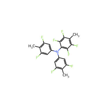 Cc1c(F)cc(N(c2cc(F)c(C)c(F)c2)c2c(F)c(F)c(C)c(F)c2F)cc1F